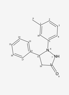 Cc1cccc(N2NC(=O)CC2c2ccccc2)c1